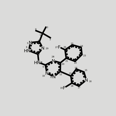 CC(C)(C)c1n[nH]c(Nc2nnc(-c3ccncc3F)c(-c3ccccc3F)n2)n1